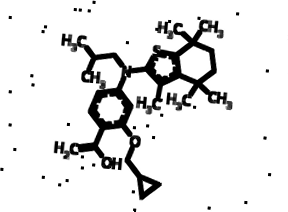 C=C(O)c1ccc(N(CC(C)C)c2sc3c(c2C)C(C)(C)CCC3(C)C)cc1OCC1CC1